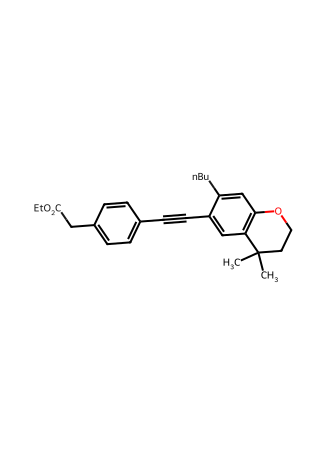 CCCCc1cc2c(cc1C#Cc1ccc(CC(=O)OCC)cc1)C(C)(C)CCO2